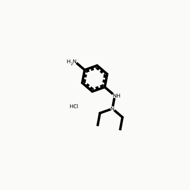 CCN(CC)Nc1ccc(N)cc1.Cl